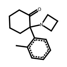 Cc1ccccc1C1(N2CCC2)CCCCC1=O